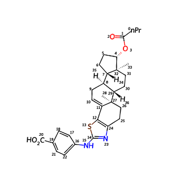 CCCC(=O)O[C@H]1CC[C@H]2[C@@H]3CC=C4c5sc(Nc6ccc(C(=O)O)cc6)nc5CC[C@]4(C)[C@H]3CC[C@]12C